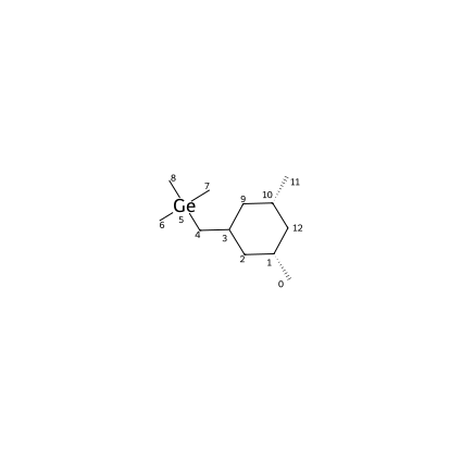 C[C@@H]1CC([CH2][Ge]([CH3])([CH3])[CH3])C[C@H](C)C1